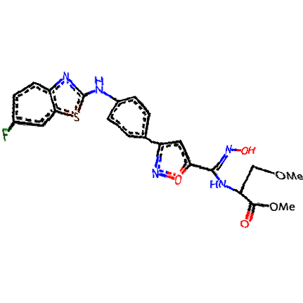 COCC(NC(=NO)c1cc(-c2ccc(Nc3nc4ccc(F)cc4s3)cc2)no1)C(=O)OC